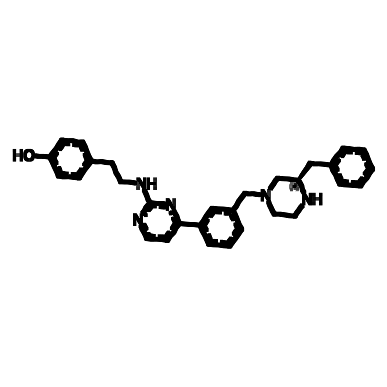 Oc1ccc(CCNc2nccc(-c3cccc(CN4CCN[C@H](Cc5ccccc5)C4)c3)n2)cc1